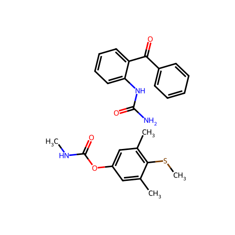 CNC(=O)Oc1cc(C)c(SC)c(C)c1.NC(=O)Nc1ccccc1C(=O)c1ccccc1